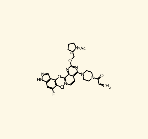 C=CC(=O)N1CCN(c2nc(OC[C@H]3CCCN3C(C)=O)nc3c(Oc4c(Cl)c(F)cc5[nH]ncc45)nccc23)CC1